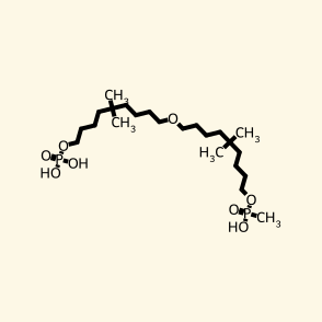 CC(C)(CCCCOCCCCC(C)(C)CCCCOP(=O)(O)O)CCCCOP(C)(=O)O